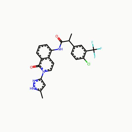 Cc1cc(-n2ccc3c(NC(=O)C(C)c4ccc(Cl)c(C(F)(F)F)c4)cccc3c2=O)n[nH]1